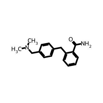 CN(C)Cc1ccc(Cc2ccccc2C(N)=O)cc1